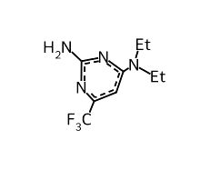 CCN(CC)c1cc(C(F)(F)F)nc(N)n1